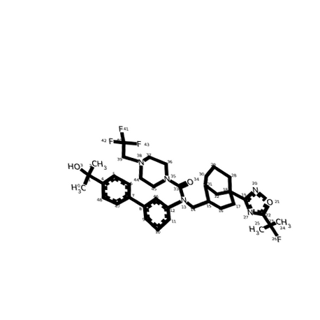 CC(C)(O)c1ccc(-c2cccc(N(CC3CCC4(c5noc(C(C)(C)F)n5)CCCC3C4)C(=O)N3CCN(CC(F)(F)F)CC3)c2)cc1